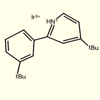 CC(C)(C)c1cccc(-c2cc(C(C)(C)C)cc[nH+]2)c1.[Ir+3]